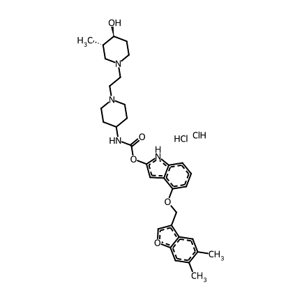 Cc1cc2occ(COc3cccc4[nH]c(OC(=O)NC5CCN(CCN6CC[C@H](O)[C@@H](C)C6)CC5)cc34)c2cc1C.Cl.Cl